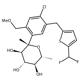 COCc1cc(Cl)c(Cc2ccc(C(F)F)s2)cc1[C@]1(C)O[C@H](C)[C@@H](O)[C@H](O)[C@H]1O